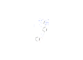 COc1ccc(F)cc1C(=O)NCc1ccc(-c2nn(C(C)(C)C)c3c(=O)[nH]nc(N)c23)cc1